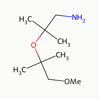 COCC(C)(C)OC(C)(C)CN